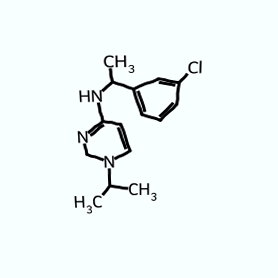 CC(NC1=NCN(C(C)C)C=C1)c1cccc(Cl)c1